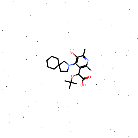 Cc1nc(C)c(C(OC(C)(C)C)C(=O)O)c(N2CCC3(CCCCC3)C2)c1Br